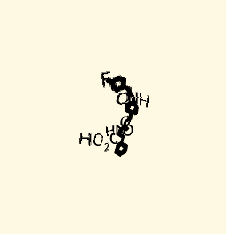 O=C(Cc1ccc(F)cc1)Nc1ccc(COC(=O)N[C@@H](Cc2ccccc2)C(=O)O)cc1